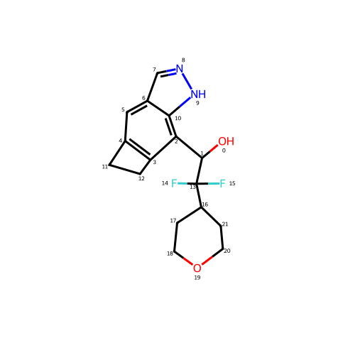 OC(c1c2c(cc3cn[nH]c13)CC2)C(F)(F)C1CCOCC1